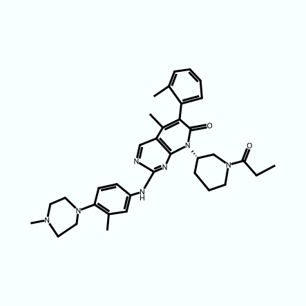 CCC(=O)N1CCC[C@H](n2c(=O)c(-c3ccccc3C)c(C)c3cnc(Nc4ccc(N5CCN(C)CC5)c(C)c4)nc32)C1